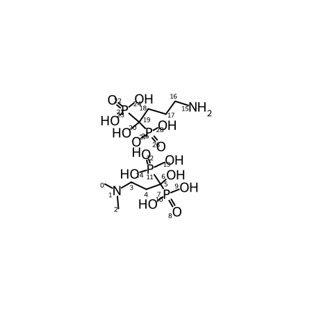 CN(C)CCC(O)(P(=O)(O)O)P(=O)(O)O.NCCCC(O)(P(=O)(O)O)P(=O)(O)O